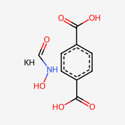 O=C(O)c1ccc(C(=O)O)cc1.O=CNO.[KH]